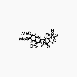 CCC1(O)C(=O)OCc2c1cc1n(c2=O)Cc2c-1nc1cc(OC)c(OC)cc1c2CCl